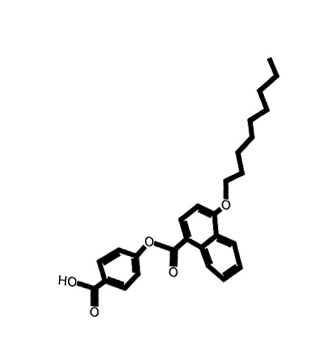 CCCCCCCCCOc1ccc(C(=O)Oc2ccc(C(=O)O)cc2)c2ccccc12